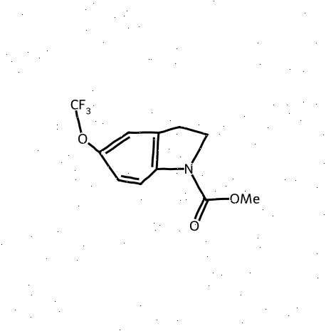 COC(=O)N1CCc2cc(OC(F)(F)F)ccc21